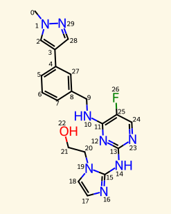 Cn1cc(-c2cccc(CNc3nc(Nc4nccn4CCO)ncc3F)c2)cn1